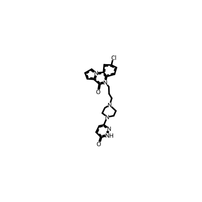 O=c1ccc(N2CCN(CCCn3c(=O)c4cccn4c4cc(Cl)ccc43)CC2)n[nH]1